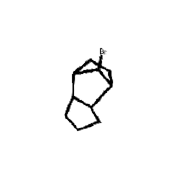 BrC1C2CCC1C1CCCC21